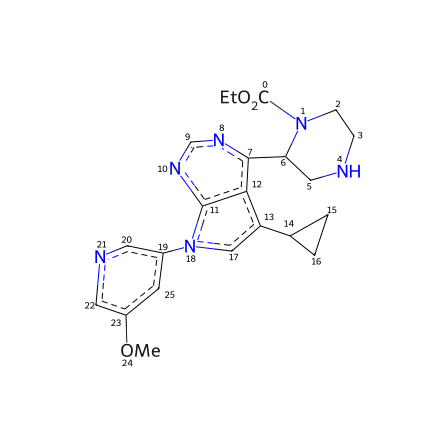 CCOC(=O)N1CCNCC1c1ncnc2c1c(C1CC1)cn2-c1cncc(OC)c1